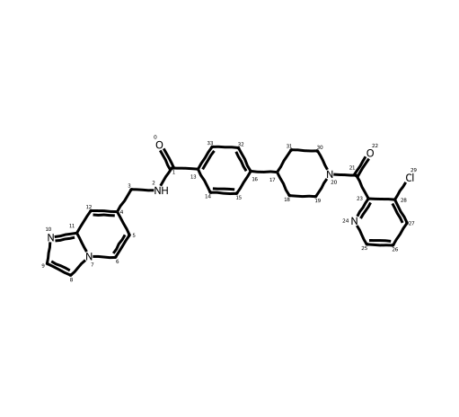 O=C(NCc1ccn2ccnc2c1)c1ccc(C2CCN(C(=O)c3ncccc3Cl)CC2)cc1